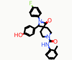 Cc1ccccc1NC(=O)N1CCC2(CC1)C(=O)N(c1ccc(F)cc1)C2c1ccc(O)cc1